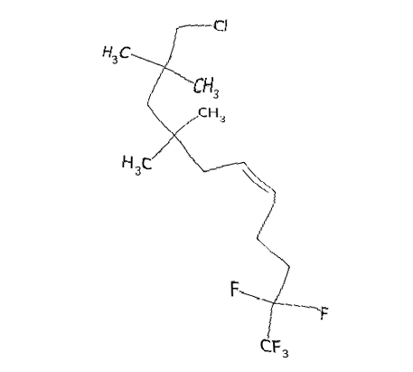 CC(C)(CCl)CC(C)(C)C/C=C\CCC(F)(F)C(F)(F)F